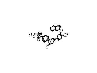 NS(=O)(=O)c1ccc(N2C[C@@H](c3ccc(Cl)c(Oc4ccc5ccccc5c4)c3)CC2=O)cc1